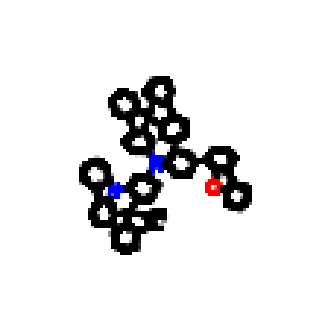 c1ccc2c(c1)-c1ccccc1C21c2ccccc2-c2ccc(N(c3ccc(-c4cccc5c4oc4ccccc45)cc3)c3ccc4c(c3)-n3c5ccccc5c5cccc(c53)C43c4ccccc4-c4ccccc43)cc21